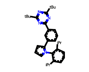 CC(C)c1cccc(C(C)C)c1-n1cccc1-c1cccc(-c2nc(C(C)(C)C)nc(C(C)(C)C)n2)c1